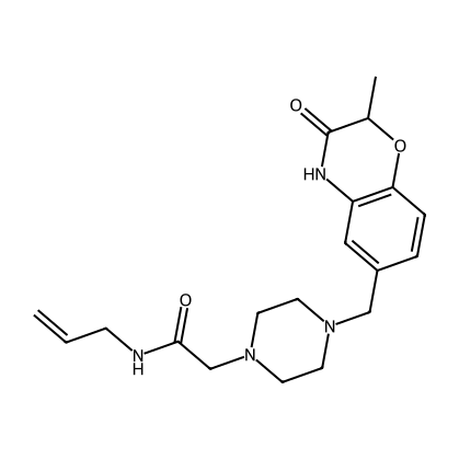 C=CCNC(=O)CN1CCN(Cc2ccc3c(c2)NC(=O)C(C)O3)CC1